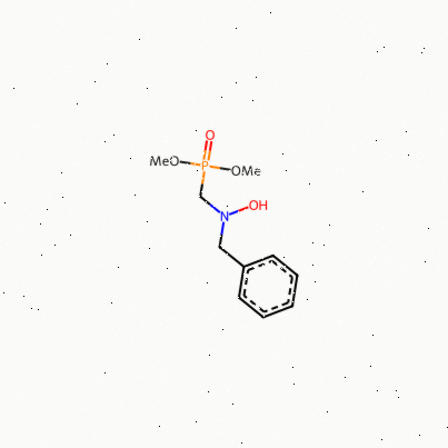 COP(=O)(CN(O)Cc1ccccc1)OC